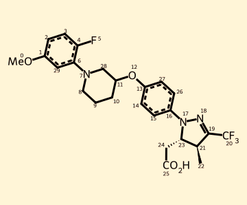 COc1ccc(F)c(N2CCCC(Oc3ccc(N4N=C(C(F)(F)F)[C@@H](C)[C@@H]4CC(=O)O)cc3)C2)c1